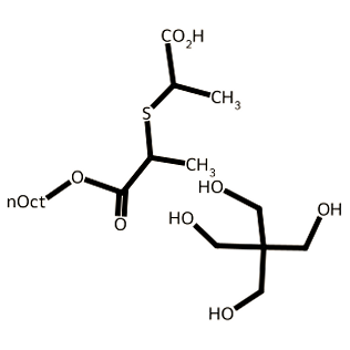 CCCCCCCCOC(=O)C(C)SC(C)C(=O)O.OCC(CO)(CO)CO